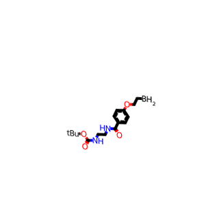 BCCOc1ccc(C(=O)NCCNC(=O)OC(C)(C)C)cc1